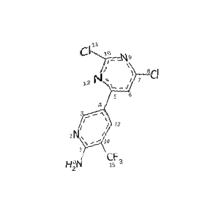 Nc1ncc(-c2cc(Cl)nc(Cl)n2)cc1C(F)(F)F